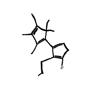 CCCC1=[C]([Zr])CC=C1C1=C(C)C(C)=C(C)C1(C)C